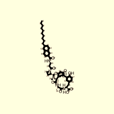 CCCCCCCCCCc1ccc2cc(C(=O)NCCC(=O)N3CC[C@H]3C(=O)N(C)[C@@H]3C(=O)N[C@@H](C)C(=O)N[C@H](C(=O)O)Cc4ccc(O)c(c4)-c4cc3ccc4O)ccc2c1